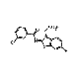 O=C(O)Cn1c(=NC(=O)c2cccc(Cl)c2)sc2cc(F)ccc21